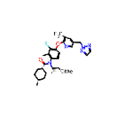 COC[C@H](C)N(c1ccc(Oc2ncc(Cn3nccn3)cc2C(F)(F)F)c(F)c1C)C(=O)[C@H]1CC[C@H](C)CC1